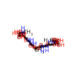 CC(=O)NC1C(OCCCCC(=O)NCCCNC(=O)CCOCC(C)COCCC(=O)NCCCNC(=O)CCCCOC2OC(CO)C(O)C(O)C2NC(C)=O)OC(CO)C(O)C1O